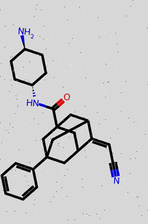 N#CC=C1C2CC3(C(=O)N[C@H]4CC[C@H](N)CC4)CC1CC(c1ccccc1)(C2)C3